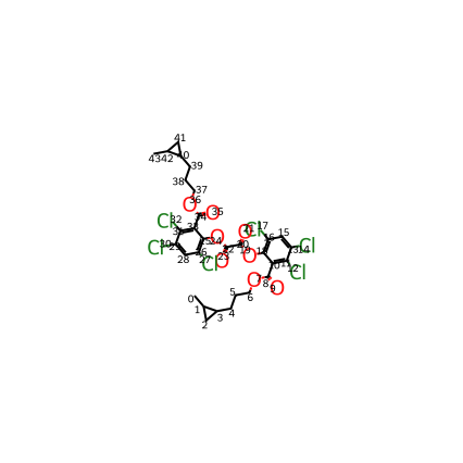 CC1CC1CCCOC(=O)c1c(Cl)c(Cl)cc(Cl)c1OC(=O)C(=O)Oc1c(Cl)cc(Cl)c(Cl)c1C(=O)OCCCC1CC1C